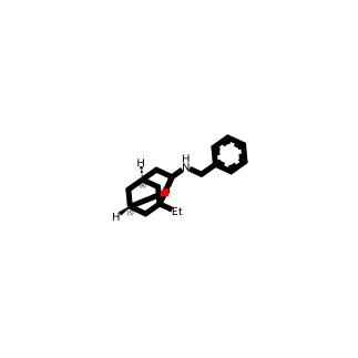 CCC12C[C@H]3C[C@@H](C1)CC(NCc1ccccc1)(C3)O2